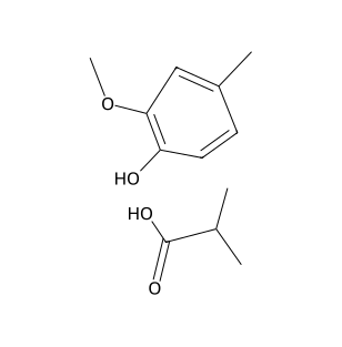 CC(C)C(=O)O.COc1cc(C)ccc1O